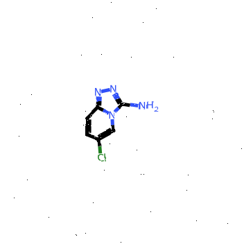 Nc1nnc2ccc(Cl)cn12